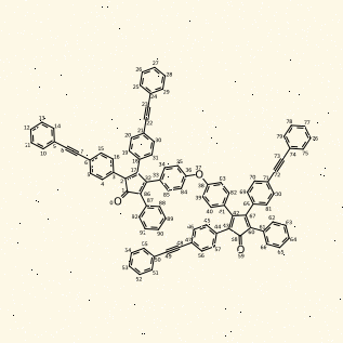 O=C1C(c2ccc(C#Cc3ccccc3)cc2)=C(c2ccc(C#Cc3ccccc3)cc2)C(c2ccc(Oc3ccc(C4=C(c5ccc(C#Cc6ccccc6)cc5)C(=O)C(c5ccccc5)=C4c4ccc(C#Cc5ccccc5)cc4)cc3)cc2)=C1c1ccccc1